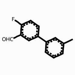 Cc1cccc(-c2ccc(F)c(C=O)c2)c1